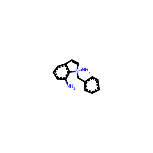 Nc1cccc2c1[N+](N)(Cc1ccccc1)C=C2